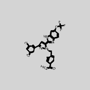 O=C(O)c1ccc(Cn2nc(-c3cc(Cl)cc(Cl)c3)cc2-c2nc3ccc(OC(F)(F)F)cc3[nH]2)cc1